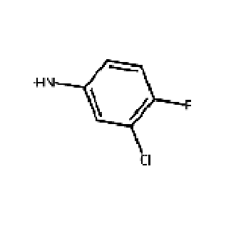 [NH]c1ccc(F)c(Cl)c1